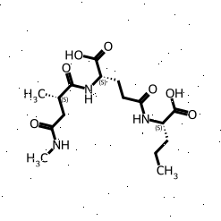 CCC[C@H](NC(=O)CC[C@H](NC(=O)[C@@H](C)CC(=O)NC)C(=O)O)C(=O)O